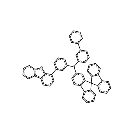 c1ccc(-c2cccc(N(c3cccc(-c4cccc5c4oc4ccccc45)c3)c3ccc4c(c3)C3(c5ccccc5-c5ccccc53)c3ccccc3-4)c2)cc1